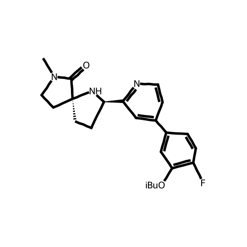 CC(C)COc1cc(-c2ccnc([C@H]3CC[C@@]4(CCN(C)C4=O)N3)c2)ccc1F